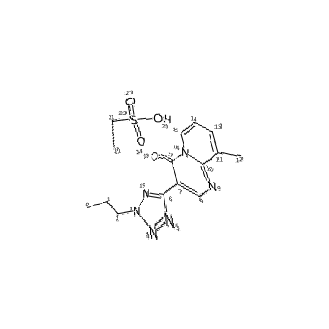 CCCn1nnc(-c2cnc3c(C)cccn3c2=O)n1.CCS(=O)(=O)O